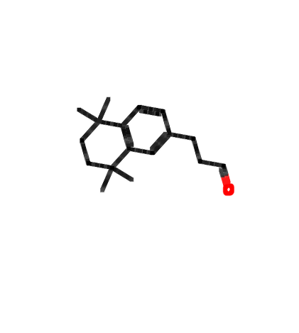 CC1(C)CCC(C)(C)c2cc(CCC=O)ccc21